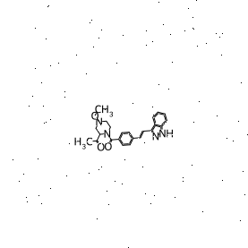 CON1CCN(C(=O)c2ccc(C=Cc3n[nH]c4ccccc34)cc2)C(C(C)=O)C1